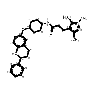 Cc1nn(C)c(C)c1CCC(=O)N[C@H]1CC[C@H](Oc2ccc3c(c2)CCC(c2ccccc2)O3)CC1